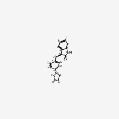 O=C1Nc2ccccc2C1=Cc1ccc(N2CCCC2)cc1